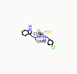 COC[C@@](C=O)(Cc1c[nH]c2ccccc12)NC(=O)[C@H](CS)NCc1ccc(Cl)cc1